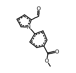 COC(=O)c1ccc(-n2cccc2C=O)cc1